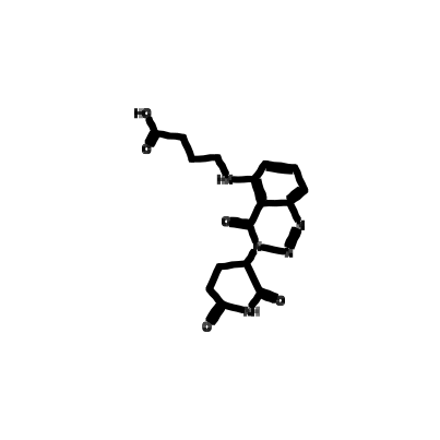 O=C(O)CCCNc1cccc2nnn(C3CCC(=O)NC3=O)c(=O)c12